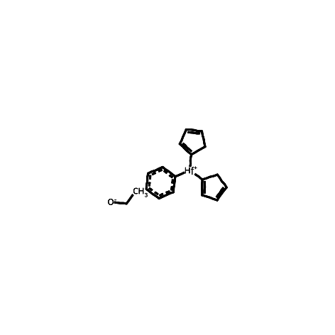 C1=CC[C]([Hf+]([C]2=CC=CC2)[c]2ccccc2)=C1.CC[O-]